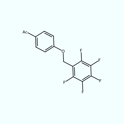 CC(=O)c1ccc(OCc2c(F)c(F)c(F)c(F)c2F)cc1